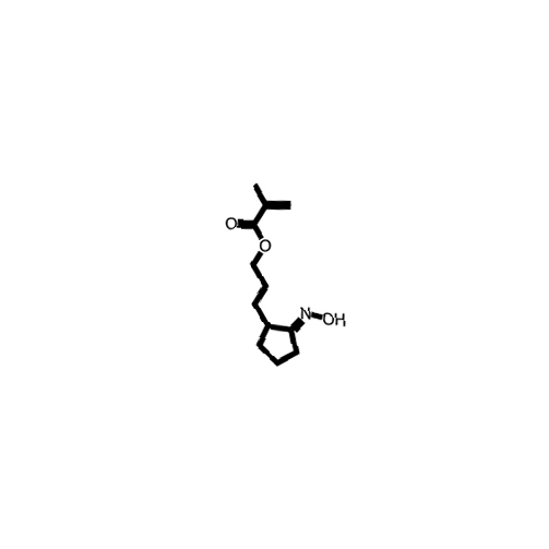 C=C(C)C(=O)OCCCC1CCCC1=NO